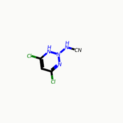 N#CNN1N=C(Cl)C=C(Cl)N1